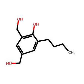 CCCCc1cc(CO)cc(CO)c1O